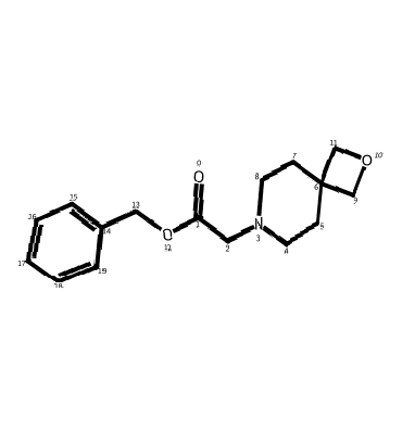 O=C(CN1CCC2(CC1)COC2)OCc1ccccc1